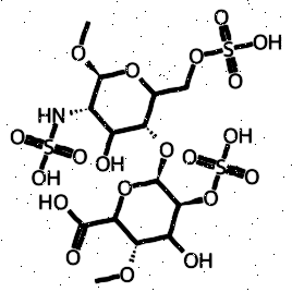 CO[C@@H]1C(C(=O)O)O[C@@H](O[C@H]2C(COS(=O)(=O)O)O[C@H](OC)[C@@H](NS(=O)(=O)O)C2O)[C@@H](OS(=O)(=O)O)C1O